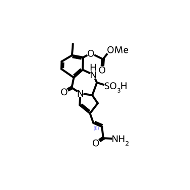 COC(=O)Oc1c(C)ccc2c1NC(S(=O)(=O)O)C1CC(/C=C/C(N)=O)=CN1C2=O